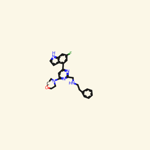 Fc1cc(-c2cc(N3CCOCC3)nc(CNCCc3ccccc3)n2)c2cc[nH]c2c1